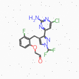 Nc1nc(Cl)cc(-c2nn(C(F)F)cc2Cc2c(F)cccc2OCC=O)n1